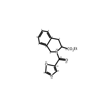 CCOC(=O)C1Cc2ccccc2CN1C(=O)c1cnco1